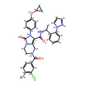 CC(NC(=O)c1c2n(c(=O)n1-c1ccc(OC3CC3)cc1)CCN(C(=O)c1ccc(Br)c(Cl)c1)C2)c1ccccc1-n1cccn1